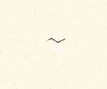 CCCF.N